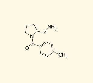 Cc1ccc(C(=O)N2CCCC2CN)cc1